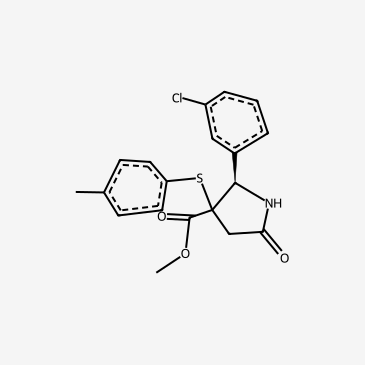 COC(=O)C1(Sc2ccc(C)cc2)CC(=O)N[C@@H]1c1cccc(Cl)c1